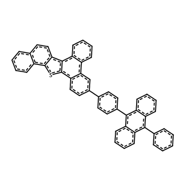 c1ccc(-c2c3ccccc3c(-c3ccc(-c4ccc5c(c4)c4ccccc4c4c6ccc7ccccc7c6sc54)cc3)c3ccccc23)cc1